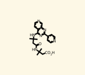 CC(C)(CC(=O)O)NC(=O)CC(C)(C)Nc1nc(-c2ccncc2)nc2cnccc12